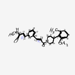 Cc1cccc(C)c1C1CCN(C(=O)/C=C/c2cccc(/C=C/C(=O)NO)n2)CC1